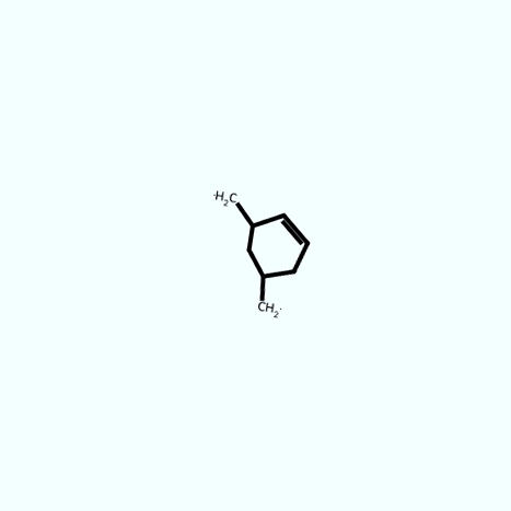 [CH2]C1C=CCC([CH2])C1